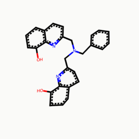 Oc1cccc2ccc(CN(Cc3ccccc3)Cc3ccc4cccc(O)c4n3)nc12